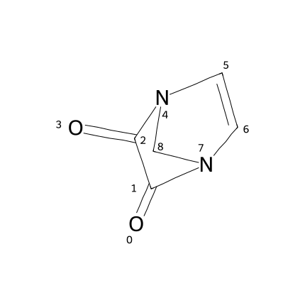 O=C1C(=O)N2C=CN1C2